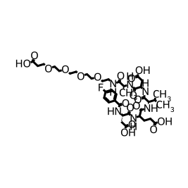 CC(C)[C@H](NC(=O)C(CCC(=O)O)NC(=O)[C@H](CC(=O)O)NC(=O)c1ccc(F)cc1)C(=O)NC(CC(=O)O)C(=O)N[C@@H](C)C(=O)NCCOCCOCCOCCOCCC(=O)O